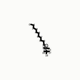 CCCCCCCCCCCO[Si](C)(C)C(C)(C)C